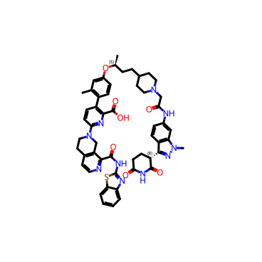 Cc1cc(O[C@@H](C)CCC2CCN(CC(=O)Nc3ccc4c([C@H]5CCC(=O)NC5=O)nn(C)c4c3)CC2)ccc1-c1ccc(N2CCc3ccnc(C(=O)Nc4nc5ccccc5s4)c3C2)nc1C(=O)O